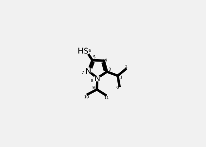 CC(C)c1cc(S)nn1C(C)C